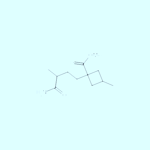 COC(=O)C1(CCC(C)C(N)=O)CC(C)C1